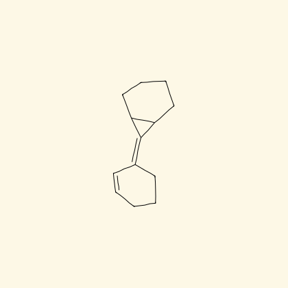 C1=CC(=C2C3CCCCC23)CCC1